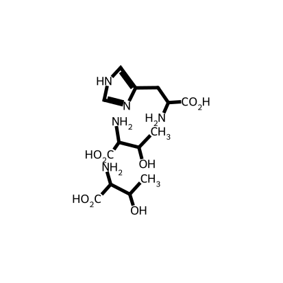 CC(O)C(N)C(=O)O.CC(O)C(N)C(=O)O.NC(Cc1c[nH]cn1)C(=O)O